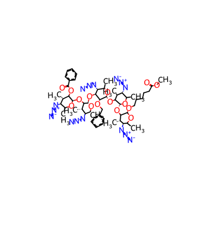 COC(=O)CCCCCO[C@H]1OC(C)[C@@H](N=[N+]=[N-])[C@H](C)C1O[C@H]1OC(C)[C@@H](N=[N+]=[N-])[C@H](C)C1O[C@H]1OC(C)[C@@H](N=[N+]=[N-])[C@H](O[C@H]2OC(C)[C@@H](N=[N+]=[N-])[C@H](C)C2O[C@H]2OC(C)[C@@H](N=[N+]=[N-])[C@H](C)C2OC(=O)c2ccccc2)C1OCc1ccccc1